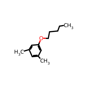 CCCCCOc1cc(C)cc(C)c1